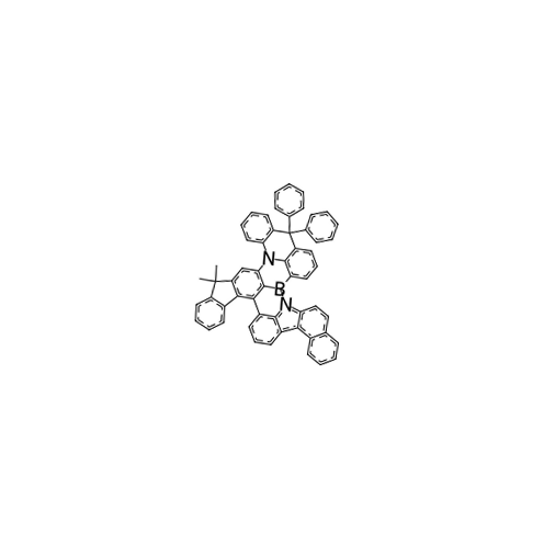 CC1(C)c2ccccc2-c2c1cc1c3c2-c2cccc4c5c6ccccc6ccc5n(c24)B3c2cccc3c2N1c1ccccc1C3(c1ccccc1)c1ccccc1